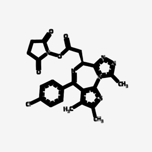 Cc1sc2c(c1C)C(c1ccc(Cl)cc1)=N[C@@H](CC(=O)ON1C(=O)CCC1=O)c1nnc(C)n1-2